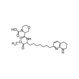 COC(=O)C(CCCCCCCc1ccc2c(n1)NCCC2)NC(=O)C1COCCN1C(=O)O